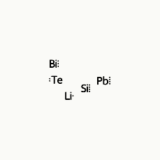 [Bi].[Li].[Pb].[Si].[Te]